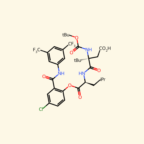 CC(C)C[C@H](NC(=O)[C@](CC(=O)O)(NC(=O)OC(C)(C)C)C(C)(C)C)C(=O)Oc1ccc(Cl)cc1C(=O)Nc1cc(C(F)(F)F)cc(C(F)(F)F)c1